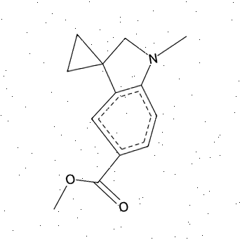 COC(=O)c1ccc2c(c1)C1(CC1)CN2C